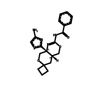 Nc1csc([C@]23COC4(CCC4)C[C@H]2COC(NC(=O)c2ccccc2)=N3)n1